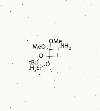 COC1(OC)C(N)CC1(O[SiH3])OC(C)(C)C